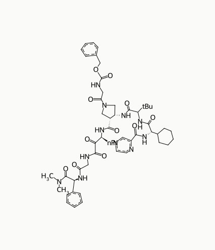 CCC[C@H](NC(=O)[C@@H]1CN(C(=O)CNC(=O)OCc2ccccc2)C[C@@H]1NC(=O)C(NC(=O)[C@@H](NC(=O)c1cnccn1)C1CCCCC1)C(C)(C)C)C(=O)C(=O)NCC(=O)N[C@H](C(=O)N(C)C)c1ccccc1